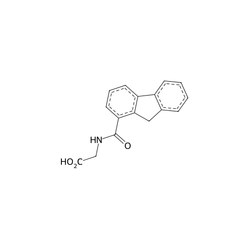 O=C(O)CNC(=O)c1cccc2c1Cc1ccccc1-2